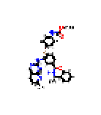 CC[C@H](NC(=O)c1ccc(Sc2ccc(NC(=O)OC(C)(C)C)cc2)c(Nc2ncc3ccc(C(C)C)nc3n2)c1)c1ccccc1